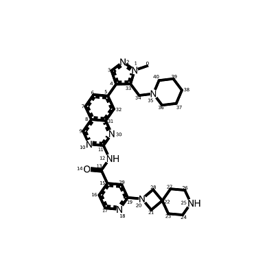 Cn1ncc(-c2ccc3cnc(NC(=O)c4ccnc(N5CC6(CCNCC6)C5)c4)nc3c2)c1CN1CCCCC1